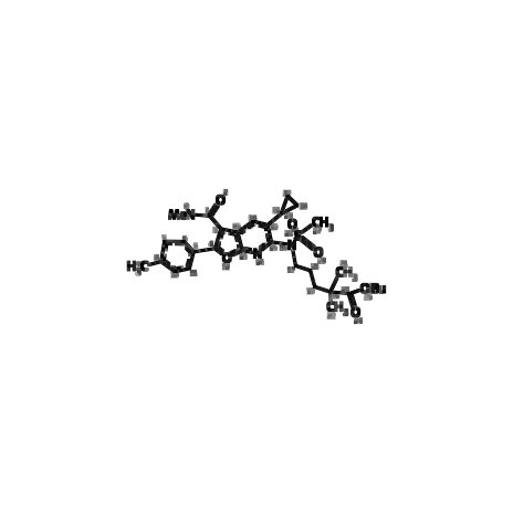 CNC(=O)c1c(-c2ccc(C)cc2)oc2nc(N(CCCC(C)(C)C(=O)OCC(C)C)S(C)(=O)=O)c(C3CC3)cc12